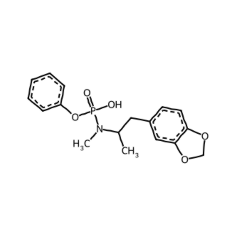 CC(Cc1ccc2c(c1)OCO2)N(C)P(=O)(O)Oc1ccccc1